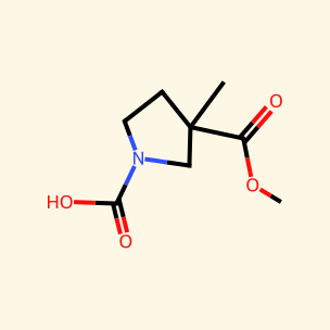 COC(=O)C1(C)CCN(C(=O)O)C1